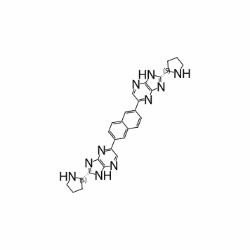 c1cc2cc(-c3cnc4[nH]c([C@@H]5CCCN5)nc4n3)ccc2cc1-c1cnc2[nH]c([C@@H]3CCCN3)nc2n1